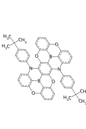 CC(C)(C)c1ccc(N2c3cccc4c3B3c5c(cccc5Oc5c3c2c2c3c5N(c5ccc(C(C)(C)C)cc5)c5cccc6c5B3c3c(cccc3O2)O6)O4)cc1